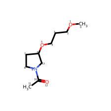 COCCCOC1CCN(C(C)=O)C1